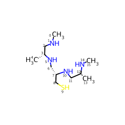 CNC[C@@H](C)NC[C@@H](CS)NC[C@@H](C)NC